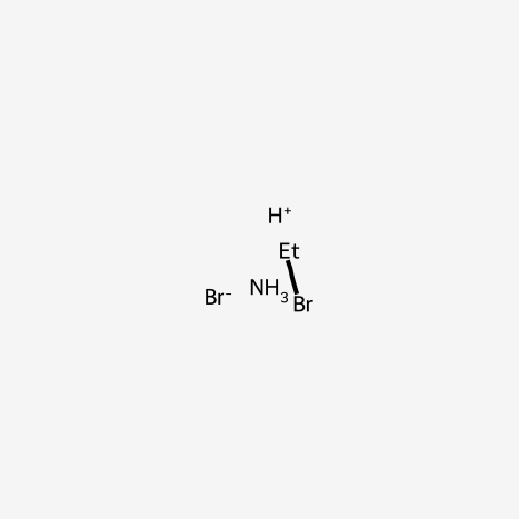 CCBr.N.[Br-].[H+]